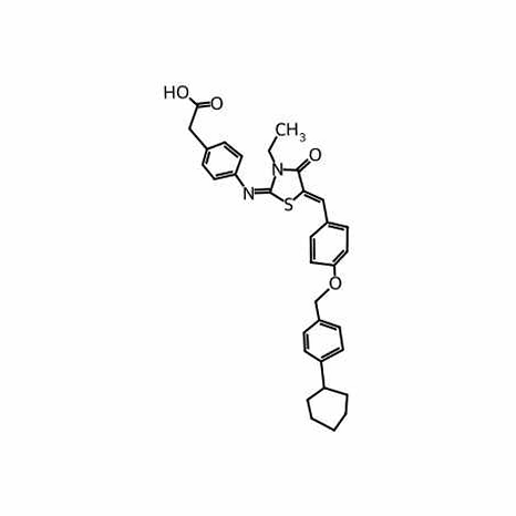 CCN1C(=O)/C(=C/c2ccc(OCc3ccc(C4CCCCC4)cc3)cc2)S/C1=N/c1ccc(CC(=O)O)cc1